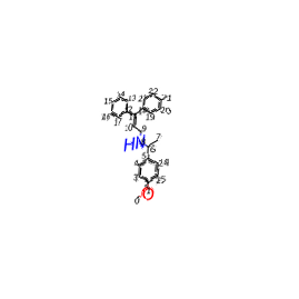 COc1ccc(C(C)NCC=C(c2ccccc2)c2ccccc2)cc1